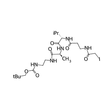 CC(C)[C@H](NC(=O)CCNC(=O)CI)C(=O)N[C@@H](C)C(=O)NCCNC(=O)OCC(C)(C)C